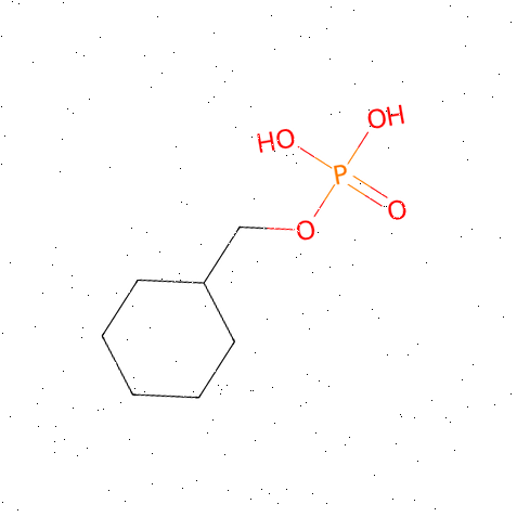 O=P(O)(O)OCC1CCCCC1